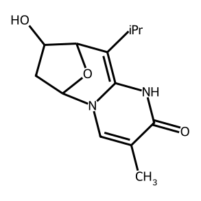 CC1=CN2C(=C(C(C)C)C3OC2CC3O)NC1=O